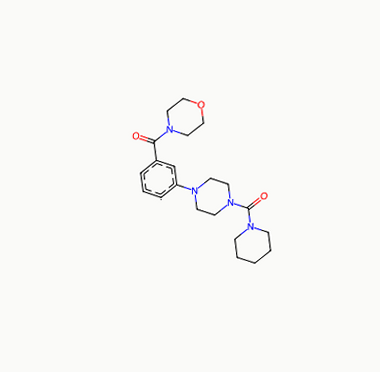 O=C(c1cc[c]c(N2CCN(C(=O)N3CCCCC3)CC2)c1)N1CCOCC1